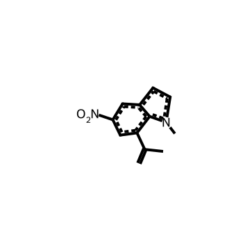 C=C(C)c1cc([N+](=O)[O-])cc2ccn(C)c12